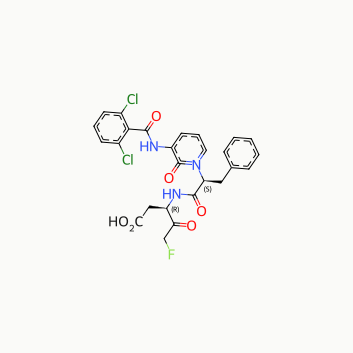 O=C(O)C[C@@H](NC(=O)[C@H](Cc1ccccc1)n1cccc(NC(=O)c2c(Cl)cccc2Cl)c1=O)C(=O)CF